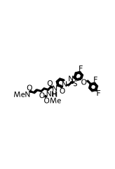 CNC(=O)/C=C/CCC(NC(=O)OC)C(=O)Nc1cccn(Cc2nc3cc(F)cc(OCc4ccc(F)cc4F)c3s2)c1=O